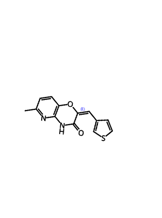 Cc1ccc2c(n1)NC(=O)/C(=C\c1ccsc1)O2